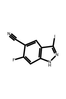 N#Cc1cc2c(I)n[nH]c2cc1F